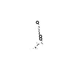 CC(C)(C)OC(=O)NCCCN[C@@H](Cc1ccc2cc(/C=C/CCNC(=O)OCc3ccccc3)ccc2c1)C(N)=O